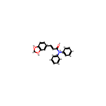 O=C(C=Cc1ccc2c(c1)OCO2)N(c1ccccc1)c1ccccc1